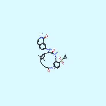 Cc1cc2cc(C)c1CCCC(=O)Nc1ccc(S(=O)(=O)C3CC3)c(c1)CN(C)C(=O)C2Nc1ccc2cc[nH]c(=O)c2c1